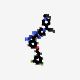 CC(C1CCN(C)CC1)N1Cc2nc(-c3n[nH]c4ccc(OCCc5cc(F)cc(F)c5)cc34)[nH]c2C1